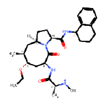 CCO[C@H]1C[C@H](NC(=O)[C@H](C)NC)C(=O)N2[C@H](CC[C@H]2C(=O)N[C@@H]2CCCc3ccccc32)C[C@@H]1C